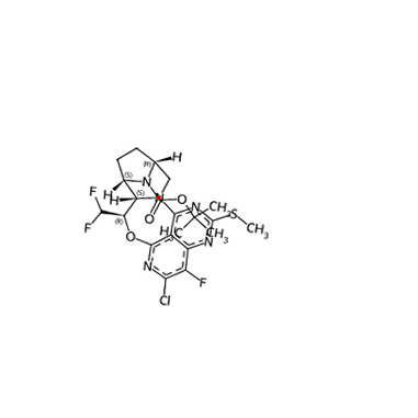 CSc1nc2c3c(nc(Cl)c(F)c3n1)O[C@@H](C(F)F)[C@@H]1[C@@H]3CC[C@H](CN21)N3C(=O)OC(C)(C)C